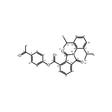 CC(=O)c1ccc(OC(=O)c2cccc3c2C(=O)N(c2c(C(C)C)cccc2C(C)C)C3=O)cc1